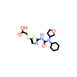 O=C(O)CSc1cnc(NC(=O)N(C2CCCCC2)C2CCOC2)s1